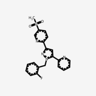 CS(=O)(=O)c1ccc(-c2cc(-c3ccccn3)n(Cc3ccccc3F)n2)nc1